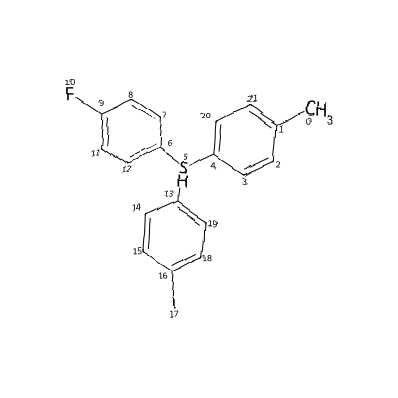 Cc1ccc([SH](c2ccc(F)cc2)c2ccc(I)cc2)cc1